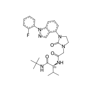 CC(C)[C@H](NC(=O)CN1CCN(c2cccc3c2cnn3-c2ccccc2F)C1=O)C(=O)NC(C)(C)C